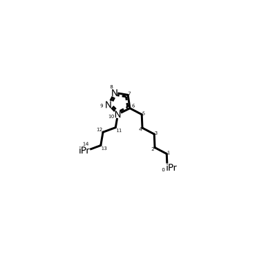 CC(C)CCCCCc1cnnn1CCCC(C)C